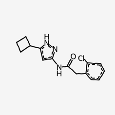 O=C(Cc1ccccc1Cl)Nc1cc(C2CCC2)[nH]n1